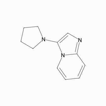 c1ccn2c(N3CCCC3)cnc2c1